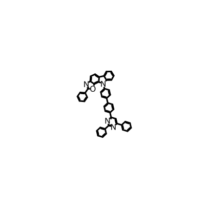 c1ccc(-c2cc(-c3ccc(-c4ccc(-n5c6ccccc6c6ccc7nc(-c8ccccc8)oc7c65)cc4)cc3)nc(-c3ccccc3)n2)cc1